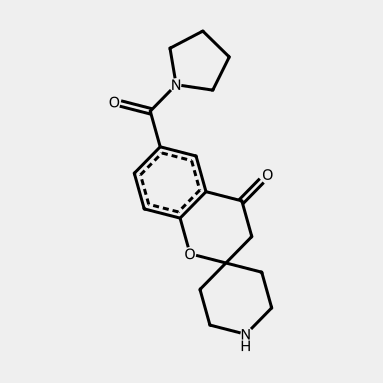 O=C1CC2(CCNCC2)Oc2ccc(C(=O)N3CCCC3)cc21